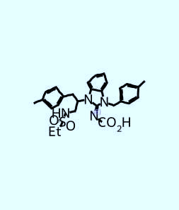 CCS(=O)(=O)NCC(Cc1ccc(C)cc1)n1/c(=N/C(=O)O)n(Cc2ccc(C)cc2)c2ccccc21